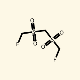 O=S(=O)(CF)CS(=O)(=O)CF